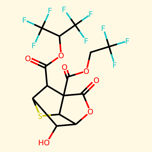 O=C(OC(C(F)(F)F)C(F)(F)F)C1C2SC3C(OC(=O)C31C(=O)OCC(F)(F)F)C2O